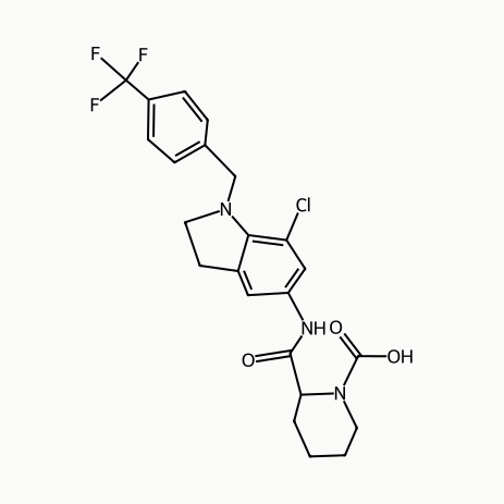 O=C(Nc1cc(Cl)c2c(c1)CCN2Cc1ccc(C(F)(F)F)cc1)C1CCCCN1C(=O)O